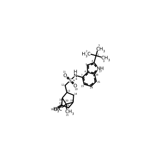 CC(C)(C)c1cc2c(NS(=O)(=O)CC3CC4CC(=O)C3C4(C)C)cccc2[nH]1